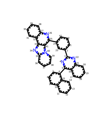 c1cc(-c2nc(-c3cccc4ccccc34)c3ccccc3n2)cc(-c2nc3ccccc3c3nc4ccccn4c23)c1